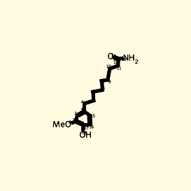 COc1cc(CCCCCCCCC(N)=O)ccc1O